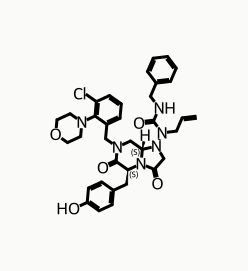 C=CCN(C(=O)NCc1ccccc1)N1CC(=O)N2[C@@H](Cc3ccc(O)cc3)C(=O)N(Cc3cccc(Cl)c3N3CCOCC3)C[C@@H]21